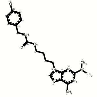 CN(C)c1nc(N)c2ncn(CCCCOC(=O)NCc3ccc(Cl)cc3)c2n1